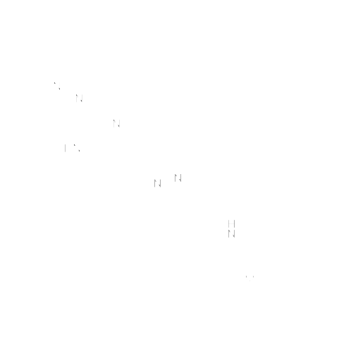 C=CC(=O)Nc1cccc(Cn2ncc3cnc(Nc4ccn(C)n4)cc32)c1